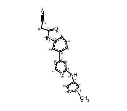 Cn1cc(Nc2cc(-c3cccc(NC(=O)CC#N)c3)ncn2)cn1